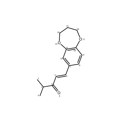 CC(C)C(=O)C=Cc1ccc2c(c1)OCCCO2